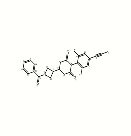 CC#Cc1cc(C)c(C2C(=O)CC(C3CN(C(=O)c4ccccc4)C3)CC2=O)c(C)c1